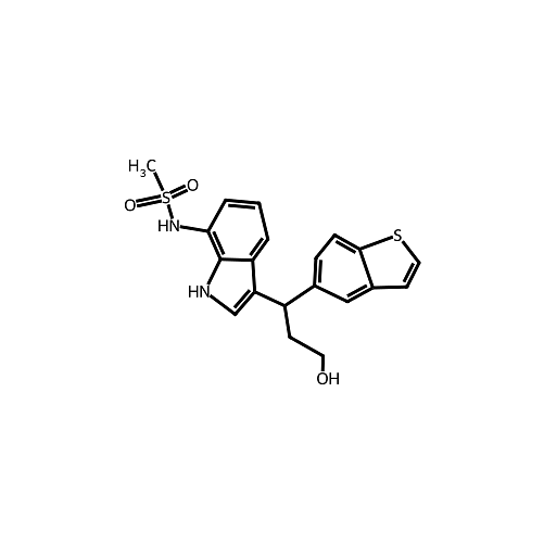 CS(=O)(=O)Nc1cccc2c(C(CCO)c3ccc4sccc4c3)c[nH]c12